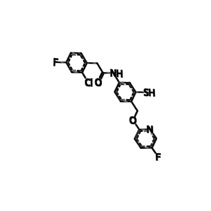 O=C(Cc1ccc(F)cc1Cl)Nc1ccc(COc2ccc(F)cn2)c(S)c1